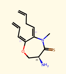 C=C/C=C1/OC[C@H](N)C(=S)N(C)/C1=C/CC=C